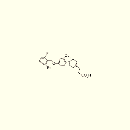 CCc1cccc(F)c1COc1ccc2c(c1)OCC21CCN(CCC(=O)O)CC1